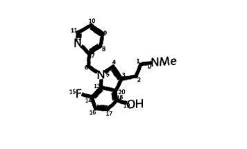 CNCCc1cn(Cc2ccccn2)c2c(F)ccc(O)c12